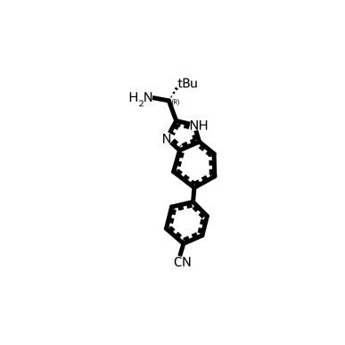 CC(C)(C)[C@@H](N)c1nc2cc(-c3ccc(C#N)cc3)ccc2[nH]1